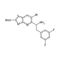 CSc1nc2nc(C(N)Cc3cc(F)cc(F)c3)c(Br)cc2s1